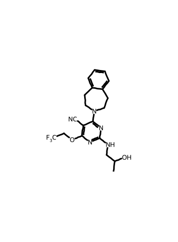 CC(O)CNc1nc(OCC(F)(F)F)c(C#N)c(N2CCc3ccccc3CC2)n1